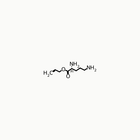 C=CCOC(=O)[C@H](N)CCCN